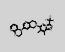 Cc1c(N2CCc3ncc(N4CCOc5ncccc54)cc3C2)nn2c(C(F)(F)F)nnc2c1C